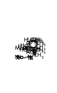 CC[C@H]1OC(=O)[C@H](C)C([C@H]2C[C@@](C)(OC)[C@@H](O)[C@H](C)O2)[C@H](C)[C@@H](O[C@@H]2O[C@H](C)C[C@H](N(C)CCc3cn(CCCCc4ccc(-n5ccnn5)cc4)nn3)[C@H]2O)[C@](C)(O)C[C@@H](C)CN(C)[C@H](C)[C@@H](O)[C@]1(C)O